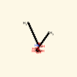 CCCCCCCCCCCCC/C=C/[C@H](O)[C@@H](COC1O[C@H](CO)[C@@H](O)[C@H](O)[C@H]1O)NC(=O)CCCCCCCCCCCCCCCCCCCCCCC